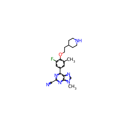 Cc1cc(-c2nc(C#N)nc3c2ncn3C)cc(F)c1OCCC1CCNCC1